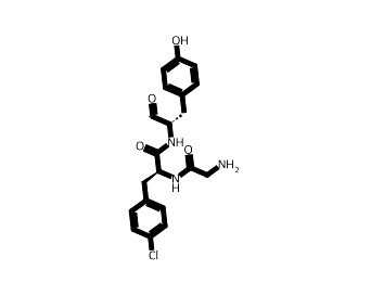 NCC(=O)N[C@@H](Cc1ccc(Cl)cc1)C(=O)N[C@H]([C]=O)Cc1ccc(O)cc1